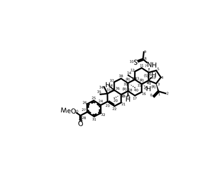 C=C(C)[C@@H]1CC[C@]2(NC(C)=S)CC[C@]3(C)[C@H](CC[C@@H]4[C@@]5(C)CC=C(c6ccc(C(=O)OC)cc6)C(C)(C)[C@@H]5CC[C@]43C)[C@@H]12